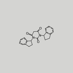 O=C1CC(=O)N(C2CCc3ccccc32)C(=O)N1C1CCc2ccccc21